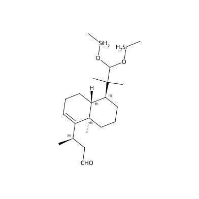 C[SiH2]OC(O[SiH2]C)C(C)(C)[C@H]1CCC[C@@]2(C)C([C@H](C)CC=O)=CCC[C@H]12